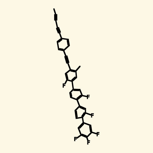 CC#CC#Cc1ccc(C#Cc2cc(F)c(-c3ccc(-c4ccc(-c5cc(F)c(F)c(F)c5)c(F)c4)c(F)c3)cc2C)cc1